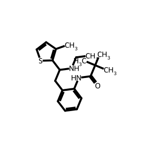 CCNC(Cc1ccccc1NC(=O)C(C)(C)C)c1sccc1C